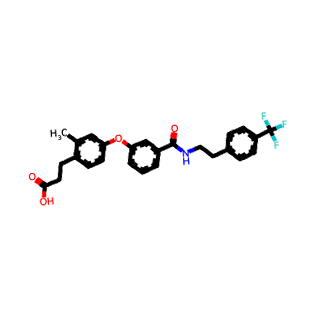 Cc1cc(Oc2cccc(C(=O)NCCc3ccc(C(F)(F)F)cc3)c2)ccc1CCC(=O)O